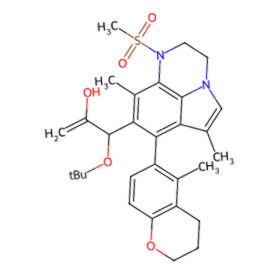 C=C(O)C(OC(C)(C)C)c1c(C)c2c3c(c(C)cn3CCN2S(C)(=O)=O)c1-c1ccc2c(c1C)CCCO2